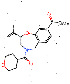 C=C(C)[C@@H]1CN(C(=O)C2CCOCC2)Cc2ccc(C(=O)OC)cc2O1